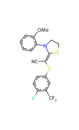 COc1ccccc1N1CCS/C1=C(/C#N)Sc1ccc(F)c(C(F)(F)F)c1